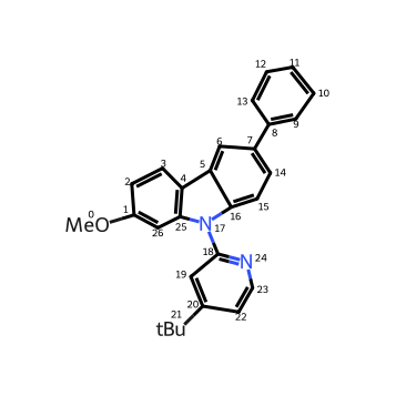 COc1ccc2c3cc(-c4ccccc4)ccc3n(-c3cc(C(C)(C)C)ccn3)c2c1